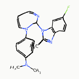 Cc1nc2ccc(F)cc2n1C1N=CC=CN1c1ccc(N(C)C)cc1